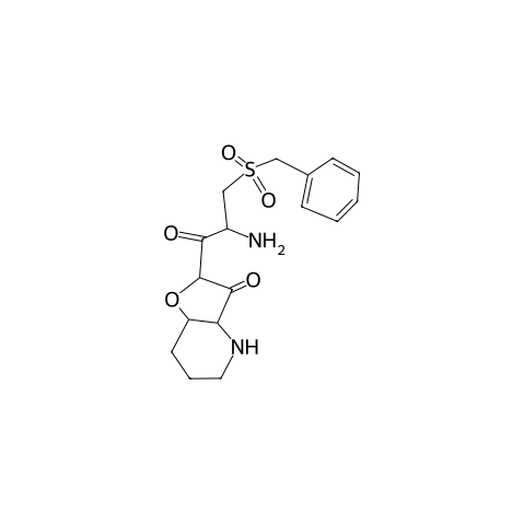 NC(CS(=O)(=O)Cc1ccccc1)C(=O)C1OC2CCCNC2C1=O